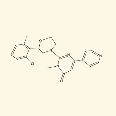 Cn1c(N2CCO[C@@H](c3c(F)cccc3Cl)C2)nc(-c2ccncc2)cc1=O